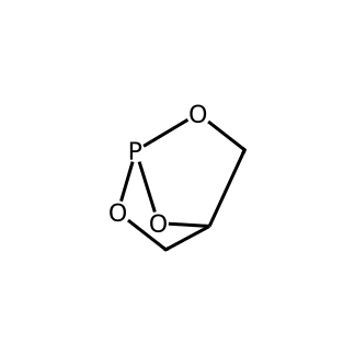 C1OP2OCC1O2